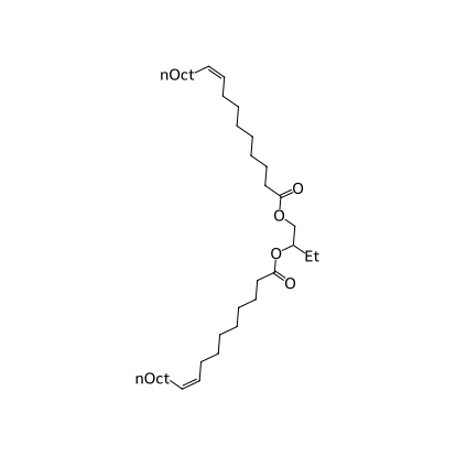 CCCCCCCC/C=C\CCCCCCCC(=O)OCC(CC)OC(=O)CCCCCCC/C=C\CCCCCCCC